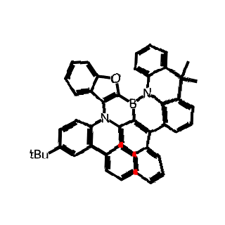 CC(C)(C)c1ccc(N2c3cc4ccccc4c4c3B(c3oc5ccccc5c32)N2c3ccccc3C(C)(C)c3cccc-4c32)c(-c2ccccc2)c1